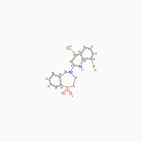 O=S1(=O)CCN(c2cc(Cl)c3cccc(F)c3n2)Cc2ccccc21